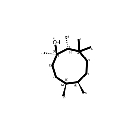 C[C@@H]1CCC(C)(C)[C@@H](C)[C@](C)(O)CC[C@@H]1C